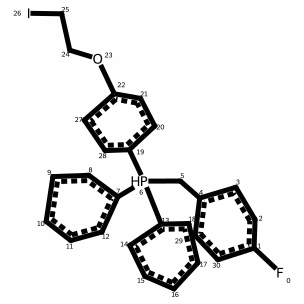 Fc1ccc(C[PH](c2ccccc2)(c2ccccc2)c2ccc(OCCI)cc2)cc1